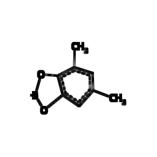 Cc1cc(C)c2c(c1)O[B]O2